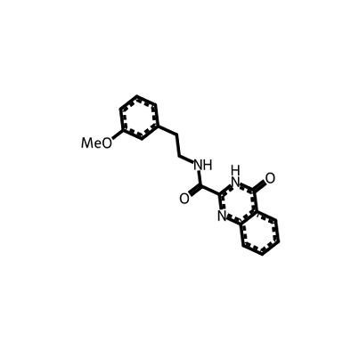 COc1cccc(CCNC(=O)c2nc3ccccc3c(=O)[nH]2)c1